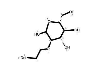 CCCCCCCCCCO[C@H]1C(O)O[C@H](CO)[C@@H](O)[C@@H]1O